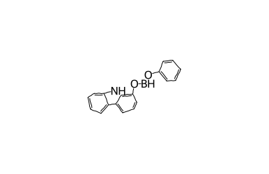 B(Oc1ccccc1)Oc1cccc2c1[nH]c1ccccc12